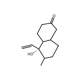 C=C[C@]1(O)C(C)CCC2CC(=O)CCC21